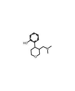 CN(C)CC1COCCC1c1ccccc1O